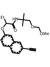 C#Cc1ccc2ccc(OC(CC)C(=O)NC(C)(C)COCOC)cc2c1